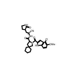 COc1ccc2[nH]c(C(=O)N3CC4(CCCCC4)CC3C(=O)N[C@H](C#N)CC3CCNC3=O)cc2c1Cl